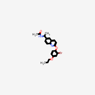 CCCOc1ccc(Oc2ccc3cc(C(C)NC(C)=O)ccc3n2)c(Br)c1